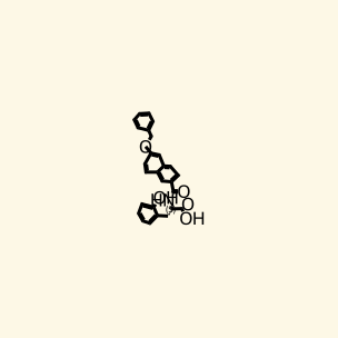 O=C(N[C@@H](Cc1ccccc1O)C(=O)O)c1ccc2cc(OCc3ccccc3)ccc2c1